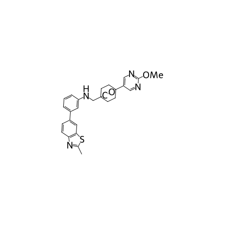 COc1ncc(C23CCC(CNc4cccc(-c5ccc6nc(C)sc6c5)c4)(CC2)CO3)cn1